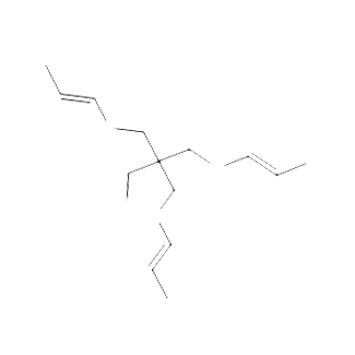 CC=COCC(CO)(COC=CC)COC=CC